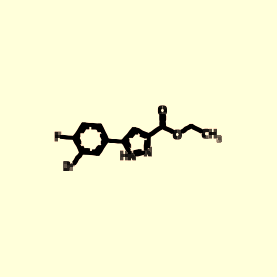 CCOC(=O)c1cc(-c2ccc(F)c(Br)c2)[nH]n1